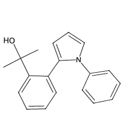 CC(C)(O)c1ccccc1-c1cccn1-c1ccccc1